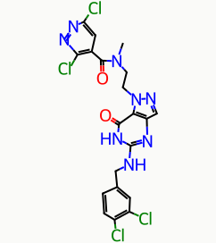 CN(CCn1ncc2nc(NCc3ccc(Cl)c(Cl)c3)[nH]c(=O)c21)C(=O)c1cc(Cl)nnc1Cl